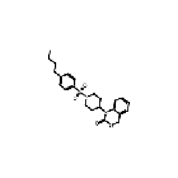 CCCCc1ccc(S(=O)(=O)N2CCC(N3C(=O)OCc4ccccc43)CC2)cc1